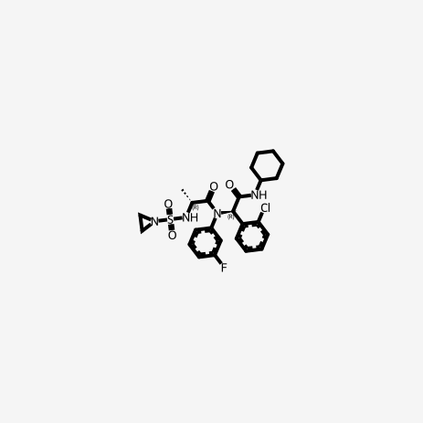 C[C@@H](NS(=O)(=O)N1CC1)C(=O)N(c1cccc(F)c1)[C@@H](C(=O)NC1CCCCC1)c1ccccc1Cl